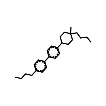 CCCCc1ccc(-c2ccc(C3CCC(C)(CCCC)CC3)cc2)cc1